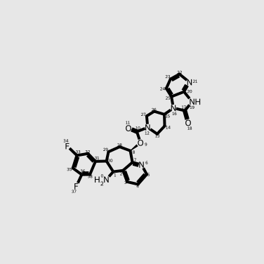 NC1c2cccnc2[C@H](OC(=O)N2CCC(n3c(=O)[nH]c4ncccc43)CC2)CCC1c1cc(F)cc(F)c1